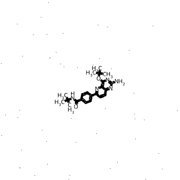 CC(C)(C)NC(=O)c1ccc(-c2ccc3nc(N)nc(OC(C)(C)C)c3n2)cc1